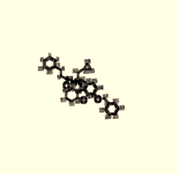 c1ccc(CCCO[C@@]23CCCC4Oc5c(OCc6ccccc6)ccc6c5[C@@]42CCN(CC2CC2)[C@@H]3C6)cc1